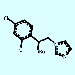 CCCCC(Cn1ccnc1)c1ccc(Cl)cc1Cl